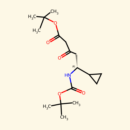 CC(C)(C)OC(=O)CC(=O)C[C@@H](NC(=O)OC(C)(C)C)C1CC1